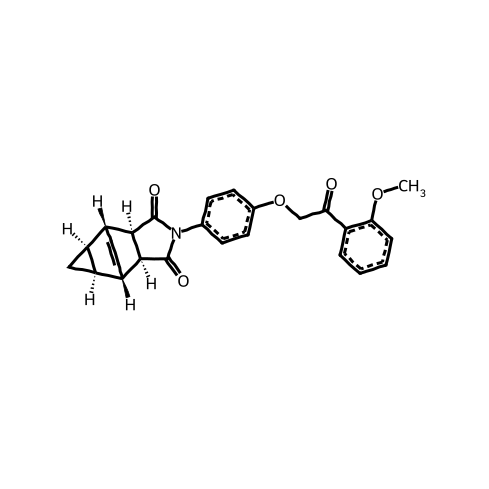 COc1ccccc1C(=O)COc1ccc(N2C(=O)[C@@H]3[C@@H]4C=C[C@@H]([C@H]5C[C@@H]45)[C@@H]3C2=O)cc1